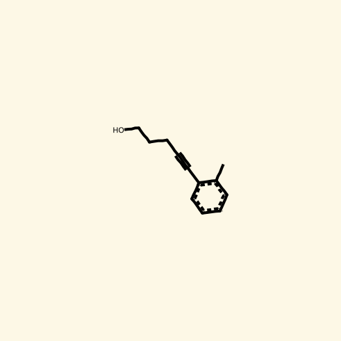 Cc1c[c]ccc1C#CCCCO